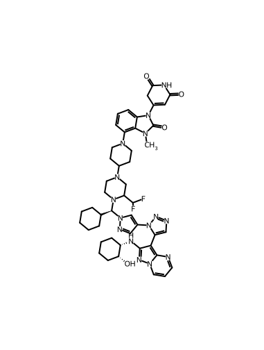 Cn1c(=O)n(C2=CC(=O)NC(=O)C2)c2cccc(N3CCC(N4CCN([C@H](C5CCCCC5)n5cc(-n6nncc6-c6c(N[C@H]7CCCC[C@H]7O)nn7cccnc67)cn5)C(C(F)F)C4)CC3)c21